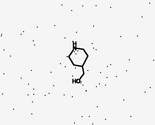 OCC1C[CH]NCC1